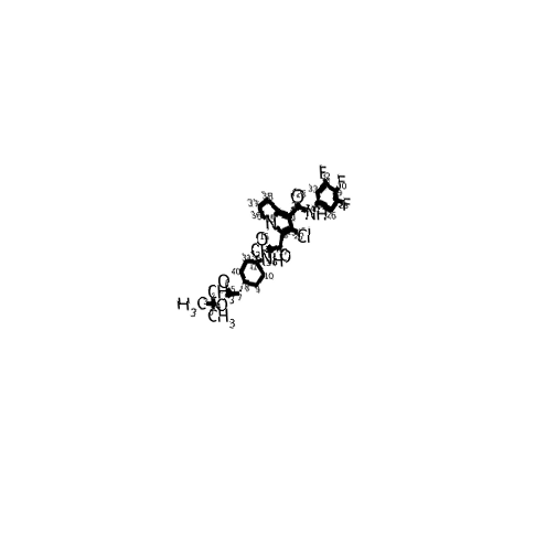 CC(C)(C)OC(=O)C[C@H]1CC[C@](C)(NC(=O)C(=O)c2c(Cl)c(C(=O)Nc3cc(F)c(F)c(F)c3)c3n2CCC3)CC1